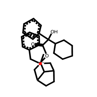 C[N+]1(Cc2ccccc2)CC2CCC(C1)C2COC(=O)C(O)(c1ccccc1)C1CCCCC1